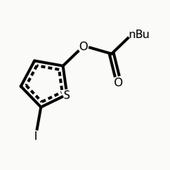 CCCCC(=O)Oc1ccc(I)s1